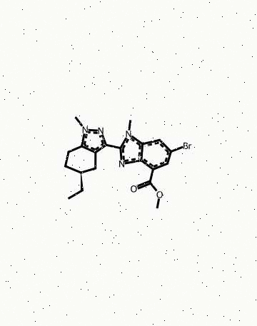 CC[C@H]1CCc2c(c(-c3nc4c(C(=O)OC)cc(Br)cc4n3C)nn2C)C1